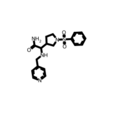 NC(=O)C(NCc1ccncc1)C1CCN(S(=O)(=O)c2ccccc2)C1